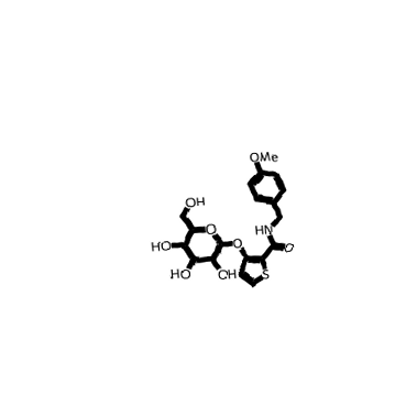 COc1ccc(CNC(=O)c2sccc2OC2OC(CO)C(O)C(O)C2O)cc1